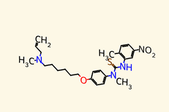 C=CCN(C)CCCCCCOc1ccc(N(C)C(=S)Nc2cc([N+](=O)[O-])ccc2C)cc1